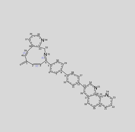 C=C1/C=C\C(c2ccc(-c3ccc(-c4cnc5c(ccc6cccnc65)c4)cc3)cc2)=N/Cc2ncccc2/C=C\1